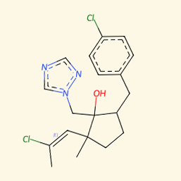 C/C(Cl)=C\C1(C)CCC(Cc2ccc(Cl)cc2)C1(O)Cn1cncn1